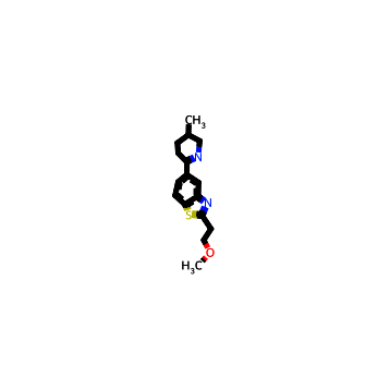 COCCc1nc2cc(C3=NCC(C)CC3)ccc2s1